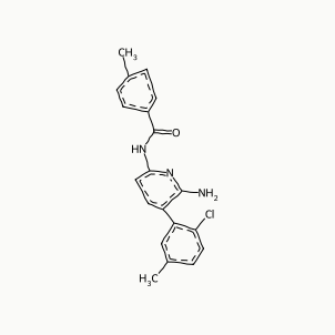 Cc1ccc(C(=O)Nc2ccc(-c3cc(C)ccc3Cl)c(N)n2)cc1